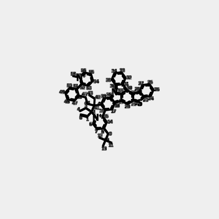 C=CC1(CC)[n+]2ccc(CC(C)(C)C)cc2-c2cc3c4cc5sc6ccccc6c5c5c6ccccc6n(c3cc2C1(CC)CCc1ccccc1-c1cccc[n+]1C)c45